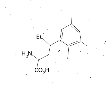 CCC(CC(N)C(=O)O)c1cc(C)cc(C)c1C